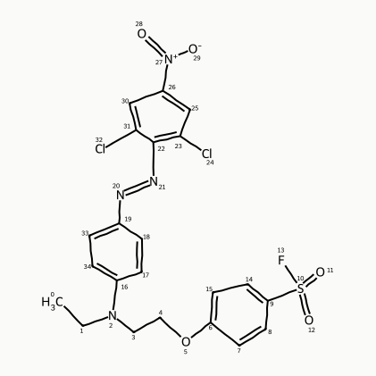 CCN(CCOc1ccc(S(=O)(=O)F)cc1)c1ccc(N=Nc2c(Cl)cc([N+](=O)[O-])cc2Cl)cc1